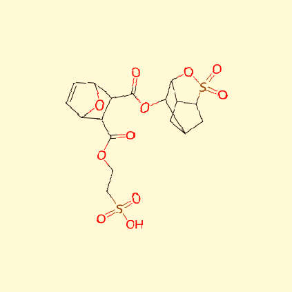 O=C(OCCS(=O)(=O)O)C1C2C=CC(O2)C1C(=O)OC1C2CC3C1OS(=O)(=O)C3C2